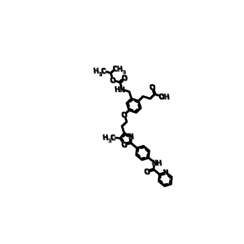 Cc1oc(-c2ccc(NC(=O)c3ccccn3)cc2)nc1CCOc1ccc(CCC(=O)O)c(CNC(=O)OC(C)C)c1